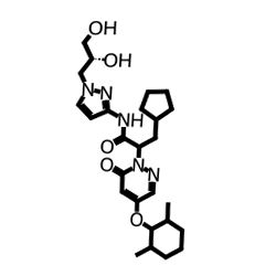 CC1CCCC(C)C1Oc1cnn(C(CC2CCCC2)C(=O)Nc2ccn(C[C@@H](O)CO)n2)c(=O)c1